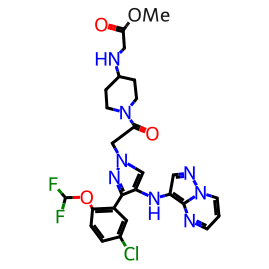 COC(=O)CNC1CCN(C(=O)Cn2cc(Nc3cnn4cccnc34)c(-c3cc(Cl)ccc3OC(F)F)n2)CC1